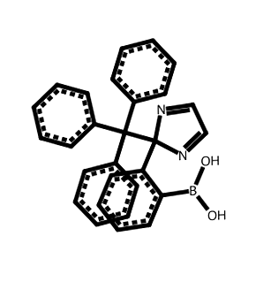 OB(O)c1ccccc1C1(C(c2ccccc2)(c2ccccc2)c2ccccc2)N=CC=N1